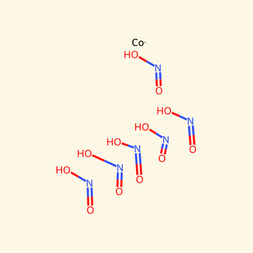 O=NO.O=NO.O=NO.O=NO.O=NO.O=NO.[Co]